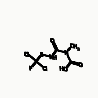 CN(C(=O)O)C(=O)NSC(F)(Cl)Cl